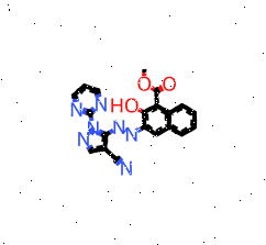 COC(=O)c1c(O)c(/N=N/c2c(C#N)cnn2-c2ncccn2)cc2ccccc12